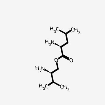 CC(C)C[C@H](N)C(=O)OC[C@H](N)C(C)C